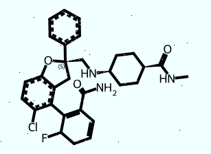 CNC(=O)[C@H]1CC[C@@H](NC[C@@]2(c3ccccc3)Cc3c(ccc(Cl)c3C3=C(C(N)=O)C=CCC3F)O2)CC1